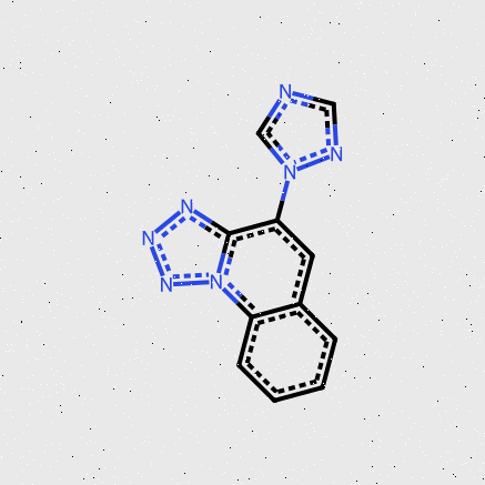 c1ccc2c(c1)cc(-n1cncn1)c1nnnn12